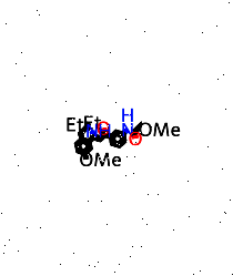 CCC1(CC)Cc2ccc(OC)cc2/C(=C/C(=O)c2cccc(NC(=O)COC)c2)N1